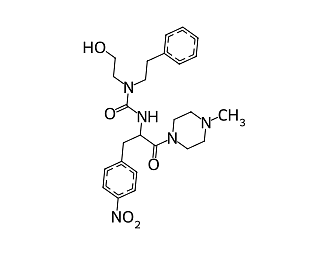 CN1CCN(C(=O)C(Cc2ccc([N+](=O)[O-])cc2)NC(=O)N(CCO)CCc2ccccc2)CC1